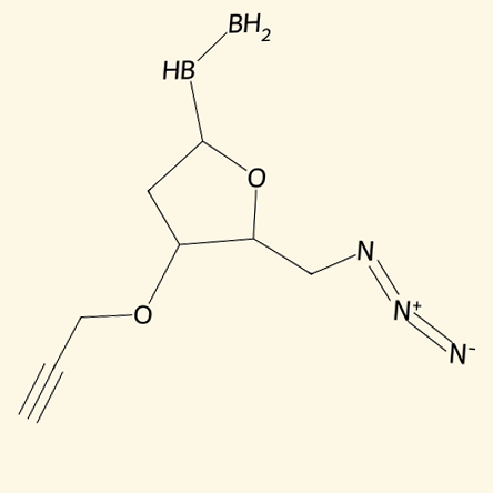 BBC1CC(OCC#C)C(CN=[N+]=[N-])O1